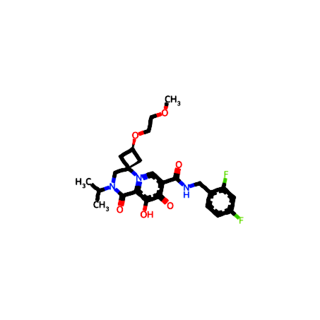 COCCO[C@H]1C[C@@]2(CN(C(C)C)C(=O)c3c(O)c(=O)c(C(=O)NCc4ccc(F)cc4F)cn32)C1